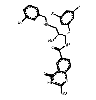 CCCCc1nc2ccc(C(=O)N[C@@H](Cc3cc(F)cc(F)c3)[C@@H](O)CNCc3cccc(CC)c3)cc2c(=O)[nH]1